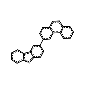 c1ccc2c(c1)ccc1ccc(-c3ccc4sc5ccccc5c4c3)cc12